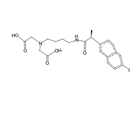 COc1ccc2cc([C@H](C)C(=O)NCCCCN(CC(=O)O)CC(=O)O)ccc2c1